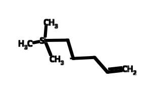 C=CC[CH]C[Si](C)(C)C